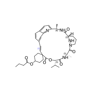 CCCC(=O)OC1CCC2(/C=C/c3ccc4ccc(nc4c3)[C@@H](C)NC(=O)[C@@H]3CCCN(N3)C(=O)[C@H](C)NC(=O)[C@H](C(C)C)OC2=O)CC1